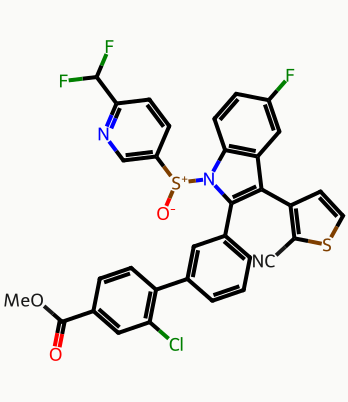 COC(=O)c1ccc(-c2cccc(-c3c(-c4ccsc4C#N)c4cc(F)ccc4n3[S+]([O-])c3ccc(C(F)F)nc3)c2)c(Cl)c1